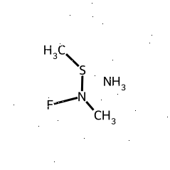 CSN(C)F.N